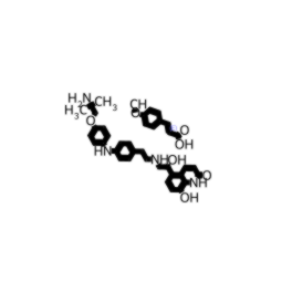 CC(C)(N)COc1ccc(Nc2ccc(CCNC[C@H](O)c3ccc(O)c4[nH]c(=O)ccc34)cc2)cc1.COc1ccc(/C=C/C(=O)O)cc1